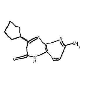 Nc1ccc2[nH]c(=O)c(C3CCCC3)nc2n1